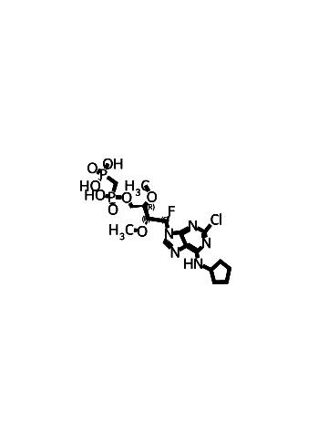 CO[C@H]([C@@H](COP(=O)(O)CP(=O)(O)O)OC)[C@H](F)n1cnc2c(NC3CCCC3)nc(Cl)nc21